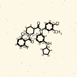 Cc1cc(NC(=O)C2CCCN(C(=O)c3c(C)cccc3F)[C@H]2c2ccc(NC3CCCC3)cc2)ccc1Cl